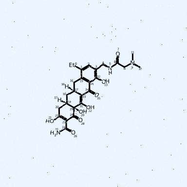 CCc1cc(CNC(=O)CN(C)C)c(O)c2c1C[C@H]1C[C@H]3CC(O)=C(C(N)=O)C(=O)[C@@]3(O)C(O)=C1C2=O